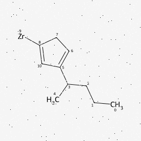 CCCC(C)C1=CC[C]([Zr])=C1